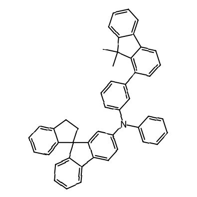 CC1(C)c2ccccc2-c2cccc(-c3cccc(N(c4ccccc4)c4ccc5c(c4)C4(CCc6ccccc64)c4ccccc4-5)c3)c21